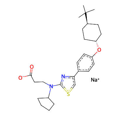 CC(C)(C)[C@H]1CC[C@H](Oc2ccc(-c3csc(N(CCC(=O)[O-])C4CCCC4)n3)cc2)CC1.[Na+]